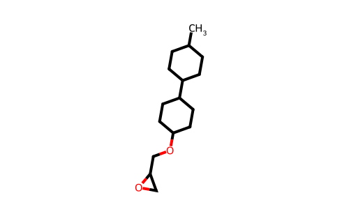 CC1CCC(C2CCC(OCC3CO3)CC2)CC1